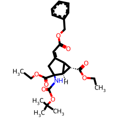 CCOC(=O)[C@H]1C2C(=CC(=O)OCc3ccccc3)C[C@@](NC(=O)OC(C)(C)C)(C(=O)OCC)[C@@H]21